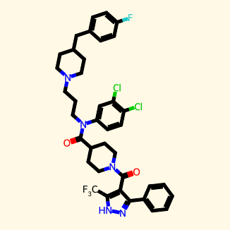 O=C(c1c(-c2ccccc2)n[nH]c1C(F)(F)F)N1CCC(C(=O)N(CCCN2CCC(Cc3ccc(F)cc3)CC2)c2ccc(Cl)c(Cl)c2)CC1